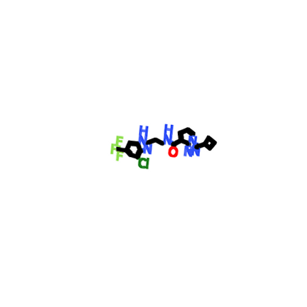 O=C(NCCc1nc2c(Cl)cc(C(F)(F)F)cc2[nH]1)c1cccn2c(C3CCC3)nnc12